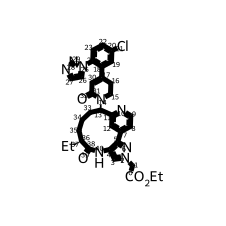 CCOC(=O)Cn1cc2c(n1)-c1ccnc(c1)[C@@H](N1CCC(c3cc(Cl)ccc3-n3ccnn3)=CC1=O)CCC[C@@H](CC)C(=O)N2